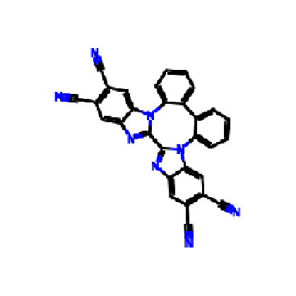 N#Cc1cc2nc3c4nc5cc(C#N)c(C#N)cc5n4c4ccccc4c4ccccc4n3c2cc1C#N